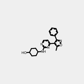 Cc1onc(-c2ccccc2)c1-c1ccnc(NC2CCC(O)CC2)n1